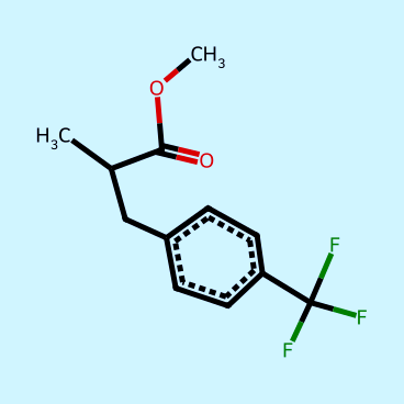 COC(=O)C(C)Cc1ccc(C(F)(F)F)cc1